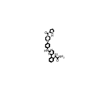 CCN(C(N)=O)c1ccccc1-c1ccnc(Nc2ccc(N3CCN(C(=O)[C@@H]4CCCN4)CC3)cc2)n1